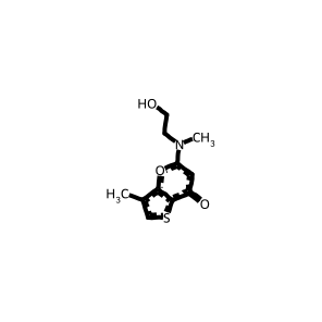 Cc1csc2c(=O)cc(N(C)CCO)oc12